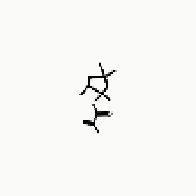 C=C(C)C(=O)OC1(C)CC(C)(C)CC1C